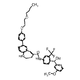 CCCCOCCOc1ccc(-c2ccc3c(c2)C=C(C(=O)Nc2ccc(C(O)c4cc(OC)ccn4)c(C(F)(F)F)c2)CCN3)cc1